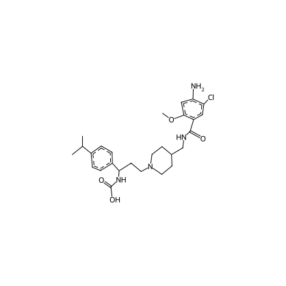 COc1cc(N)c(Cl)cc1C(=O)NCC1CCN(CCC(NC(=O)O)c2ccc(C(C)C)cc2)CC1